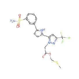 CSCOC(=O)Cn1nc(C(F)(F)F)cc1-c1ccc(-c2cccc(S(N)(=O)=O)c2)[nH]1